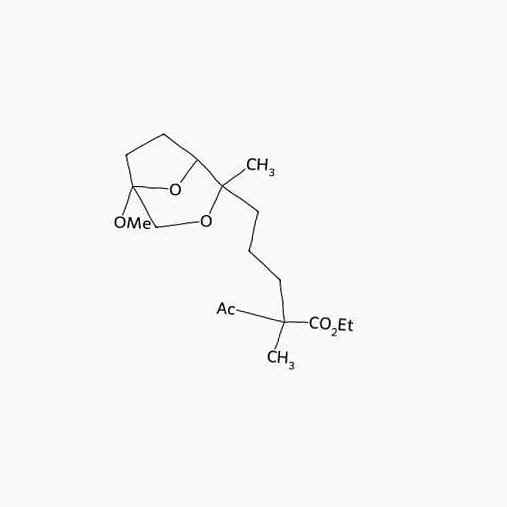 CCOC(=O)C(C)(CCCC1(C)OCC2(OC)CCC1O2)C(C)=O